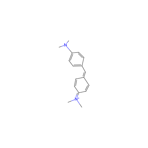 CN(C)c1ccc(C=C2C=CC(=[N+](C)C)C=C2)cc1